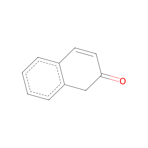 O=C1C=Cc2ccccc2C1